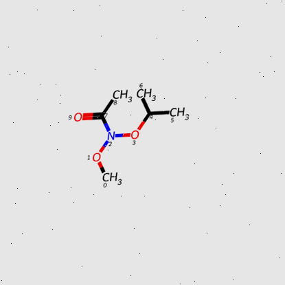 CON(OC(C)C)C(C)=O